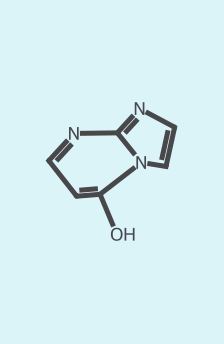 Oc1ccnc2nccn12